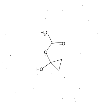 CC(=O)OC1(O)CC1